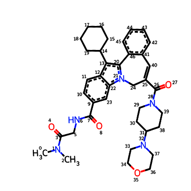 CN(C)C(=O)CNC(=O)c1ccc2c(C3CCCCC3)c3n(c2c1)CC(C(=O)N1CCC(N2CCOCC2)CC1)=Cc1ccccc1-3